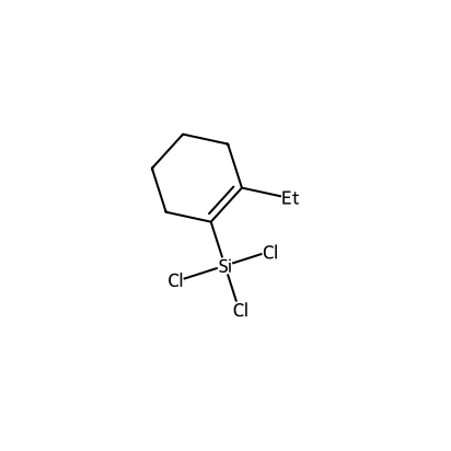 CCC1=C([Si](Cl)(Cl)Cl)CCCC1